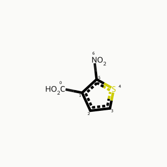 O=C(O)c1ccsc1[N+](=O)[O-]